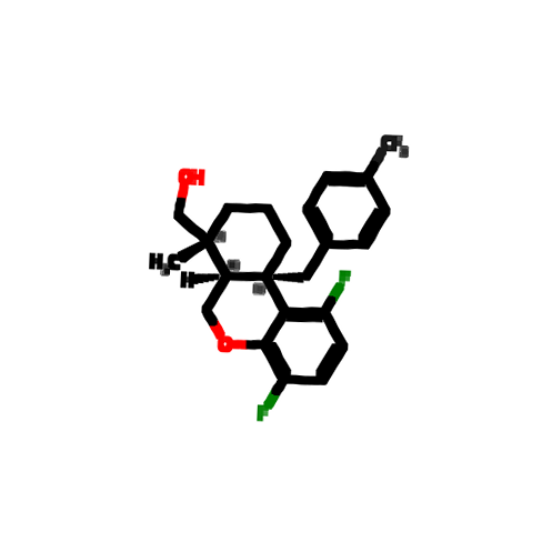 C[C@@]1(CO)CCC[C@@]2(Cc3ccc(C(F)(F)F)cc3)c3c(F)ccc(F)c3OC[C@@H]12